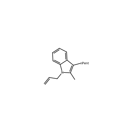 C=CCn1c(C)c(CCCCC)c2ccccc21